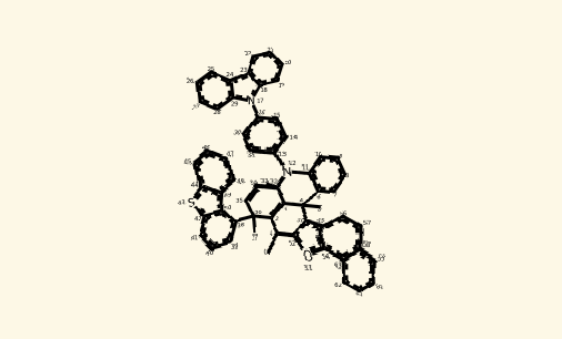 CC1C2=C3C(C)(c4ccccc4N(c4ccc(-n5c6ccccc6c6ccccc65)cc4)C3(C)C=CC2(C)c2cccc3sc4ccccc4c23)c2c1oc1c2ccc2ccccc21